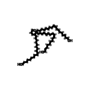 OCCCCCCCC/C=C\CCCCCCCCC1CCCOC1(CCCCCCCC/C=C\CCCCCCCCO)CCCCCCCC/C=C\CCCCCCCCO